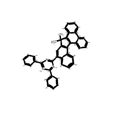 CC1(C)c2cc(-c3nc(-c4ccccc4)nc(-c4ccccc4)n3)c3ccccc3c2-c2c1c1ccccc1c1ccccc21